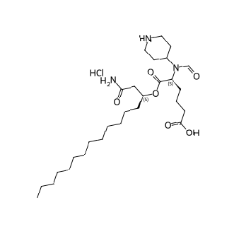 CCCCCCCCCCCCC[C@@H](CC(N)=O)OC(=O)[C@H](CCCC(=O)O)N(C=O)C1CCNCC1.Cl